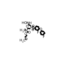 COCCOC(=O)N(C)CCN(CC(=O)NO)S(=O)(=O)c1ccc(Oc2ccc(F)cc2)c(F)c1